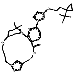 CC1(C)CC2CN1c1nc(-n3ccc(OCCC4(C(F)(F)F)CC4)n3)ccc1C(=O)NSc1cnn(c1)CCCN2